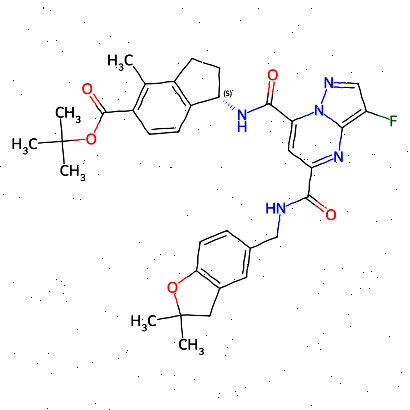 Cc1c(C(=O)OC(C)(C)C)ccc2c1CC[C@@H]2NC(=O)c1cc(C(=O)NCc2ccc3c(c2)CC(C)(C)O3)nc2c(F)cnn12